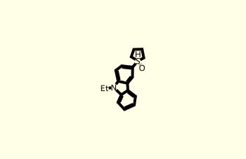 CCn1c2ccccc2c2cc([SH]3(=O)CCCC3)ccc21